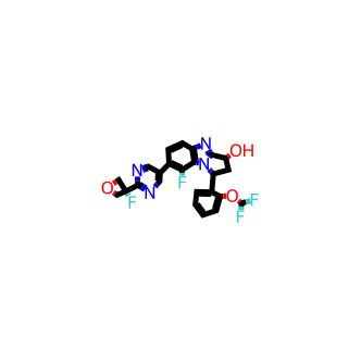 OC1CC(c2ccccc2OC(F)F)n2c1nc1ccc(-c3cnc(C4(F)COC4)nc3)c(F)c12